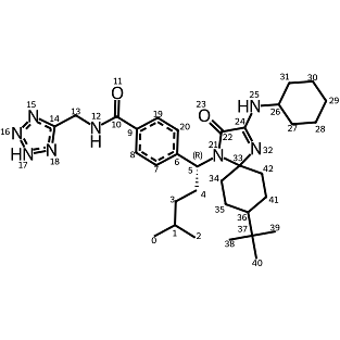 CC(C)CC[C@H](c1ccc(C(=O)NCc2nn[nH]n2)cc1)N1C(=O)C(NC2CCCCC2)=NC12CCC(C(C)(C)C)CC2